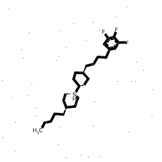 CCCCC[C@H]1CC[Si@H]([C@H]2CC[C@H](CCCCc3cc(F)c(F)c(F)c3)CC2)CC1